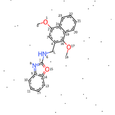 COc1cc(CNc2nc3ccccc3o2)c(OC)c2ccccc12